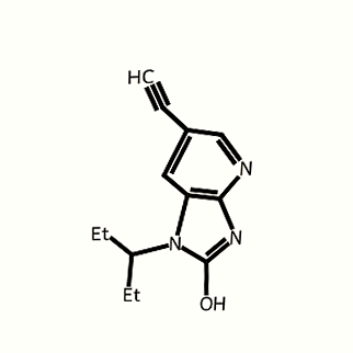 C#Cc1cnc2nc(O)n(C(CC)CC)c2c1